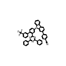 N#Cc1ccc(-c2ccc3c4ccccc4n(-c4ccc(-c5cccc(C(F)(F)F)c5)c(-c5nc(-c6ccccc6)nc(-c6ccccc6)n5)c4)c3c2)cc1